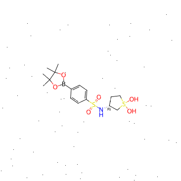 CC1(C)OB(c2ccc(S(=O)(=O)N[C@@H]3CCS(O)(O)C3)cc2)OC1(C)C